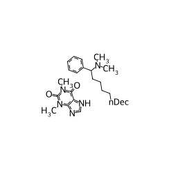 CCCCCCCCCCCCCCC(c1ccccc1)N(C)C.Cn1c(=O)c2[nH]cnc2n(C)c1=O